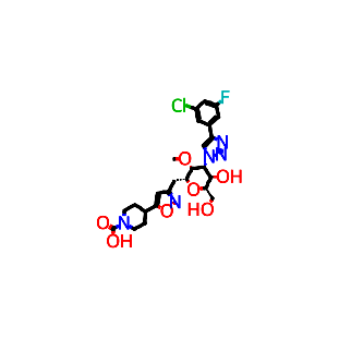 CO[C@@H]1[C@@H](n2cc(-c3cc(F)cc(Cl)c3)nn2)[C@@H](O)[C@@H](CO)O[C@@H]1Cc1cc(C2CCN(C(=O)O)CC2)on1